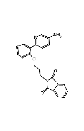 Nc1ccc(-c2ccccc2OCCCN2C(=O)c3ccccc3C2=O)nc1